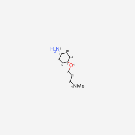 CNCCCO[C@H]1CC[C@H](N)CC1